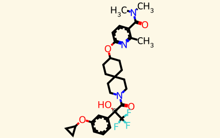 Cc1nc(OC2CCC3(CC2)CCN(C(=O)[C@](O)(c2cccc(OC4CC4)c2)C(F)(F)F)CC3)ccc1C(=O)N(C)C